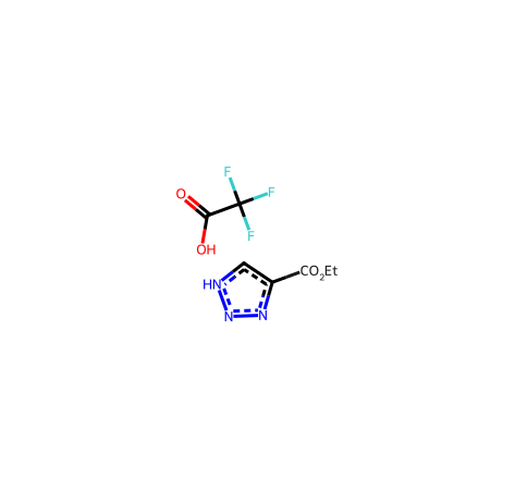 CCOC(=O)c1c[nH]nn1.O=C(O)C(F)(F)F